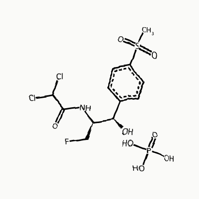 CS(=O)(=O)c1ccc([C@@H](O)[C@@H](CF)NC(=O)C(Cl)Cl)cc1.O=P(O)(O)O